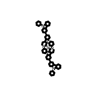 c1ccc(-n2c3ccccc3c3cc(-c4ccc5oc6c([Si](c7ccccc7)(c7ccccc7)c7nccc8c7sc7ccc(-c9ccc%10c(c9)c9ccccc9n%10-c9ccccc9)cc78)nccc6c5c4)ccc32)cc1